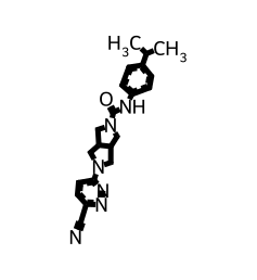 CC(C)c1ccc(NC(=O)N2CC3CN(c4ccc(C#N)nn4)CC3C2)cc1